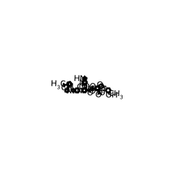 COc1nc2[nH]ccc2cc1Oc1cc(N2CCC3(CC2)CC(N2CCC[C@H]2c2ccccc2C(C)C)C3)ccc1C(=O)NS(=O)(=O)c1cc2c(c([N+](=O)[O-])c1)O[C@H](C[C@H]1CC[C@](C)(O)CC1)CO2